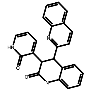 O=C1[N]c2ccccc2C(c2ccc3ccccc3n2)C1c1ccc[nH]c1=O